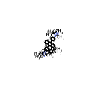 CC1=NC(C)(C)C(C)(C)N1c1ccc(-c2c3ccccc3c(-c3ccc(N4C(C)=NC(C)(C)C4(C)C)cc3)c3c4c(ccc23)C(C)(C)c2ccccc2-4)cc1